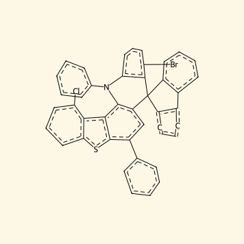 Clc1cccc2sc3c(-c4ccccc4)cc4c(c3c12)N(c1ccccc1)c1cccc(Br)c1C41c2ccccc2-c2ccccc21